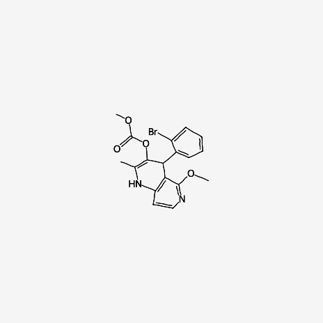 COC(=O)OC1=C(C)Nc2ccnc(OC)c2C1c1ccccc1Br